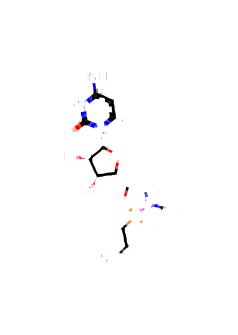 CC(C)N(C(C)C)[PH](O)(CCC#N)OC[C@H]1O[C@@H](n2ccc(N)nc2=O)[C@H](O)[C@@H]1O